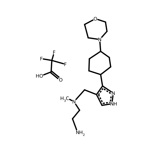 CN(CCN)Cc1c[nH]nc1C1CCC(N2CCOCC2)CC1.O=C(O)C(F)(F)F